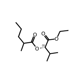 CCCC(C)C(=O)O[C@H](C(=O)OCC)C(C)C